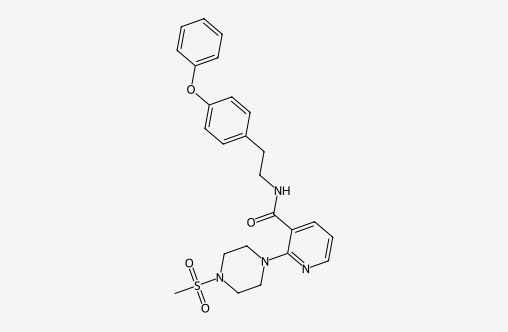 CS(=O)(=O)N1CCN(c2ncccc2C(=O)NCCc2ccc(Oc3ccccc3)cc2)CC1